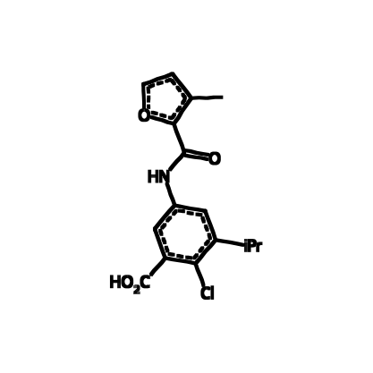 Cc1ccoc1C(=O)Nc1cc(C(=O)O)c(Cl)c(C(C)C)c1